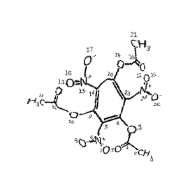 CC(=O)Oc1c([N+](=O)[O-])c(OC(C)=O)c([N+](=O)[O-])c(OC(C)=O)c1[N+](=O)[O-]